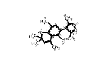 CC1=CC(C)(C)Nc2c(C)cc(-c3c(C)noc3C)c(Cl)c21